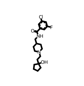 O=C(NCC1CCN(CCC2(O)CCCC2)CC1)c1cc(F)cc(Cl)c1